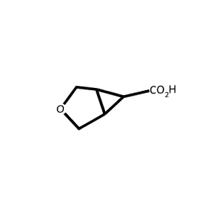 O=C(O)C1C2COCC21